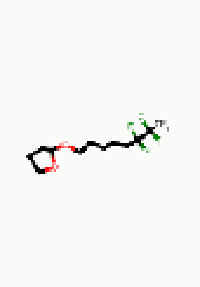 FC(F)(F)C(F)(F)C(F)(F)CCCCCOC1CCCO1